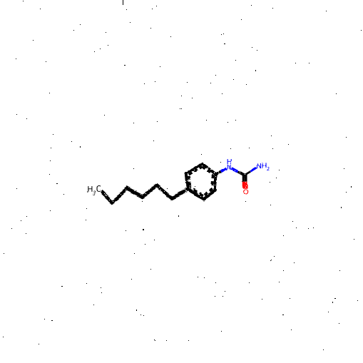 CCCCCCc1ccc(NC(N)=O)cc1